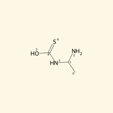 CC(N)NC(O)=S